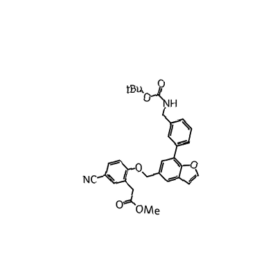 COC(=O)Cc1cc(C#N)ccc1OCc1cc(-c2cccc(CNC(=O)OC(C)(C)C)c2)c2occc2c1